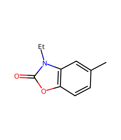 CCn1c(=O)oc2ccc(C)cc21